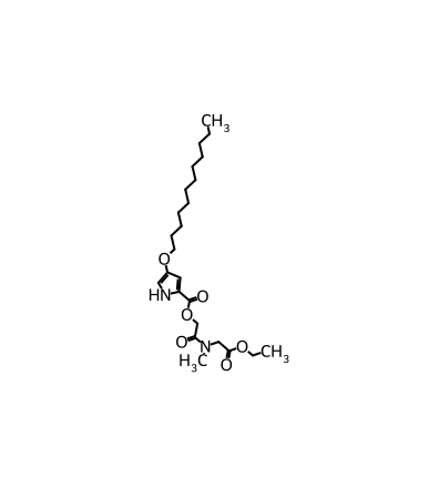 CCCCCCCCCCCCOc1c[nH]c(C(=O)OCC(=O)N(C)CC(=O)OCC)c1